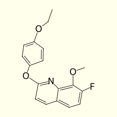 CCOc1ccc(Oc2ccc3ccc(F)c(OC)c3n2)cc1